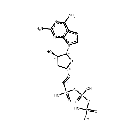 Nc1nc(N)c2ncn([C@@H]3O[C@H](/C=C/P(=O)(O)OP(=O)(O)OP(=O)(O)O)C[C@H]3O)c2n1